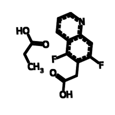 CCC(=O)O.O=C(O)Cc1c(F)cc2ncccc2c1F